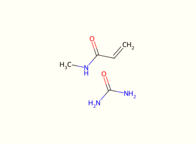 C=CC(=O)NC.NC(N)=O